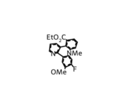 CCOC(=O)c1cccc(NC)c1-c1cccnc1-c1ccc(F)c(OC)c1